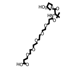 CC(C)(C)[C@H](NC(=O)CCOCCOCCOCCOCCOCCC(=O)O)C(=O)N1CC[C@@H](O)C1